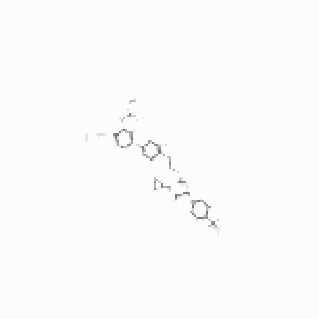 COC(=O)Cc1cc(-c2ccc(CCCc3nn(-c4ccc(C(F)(F)F)cc4)c(=O)n3C3CC3)cc2)ccc1OC